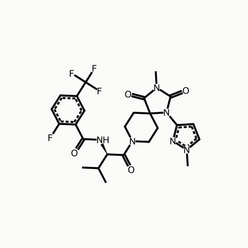 CC(C)[C@@H](NC(=O)c1cc(C(F)(F)F)ccc1F)C(=O)N1CCC2(CC1)C(=O)N(C)C(=O)N2c1ccn(C)n1